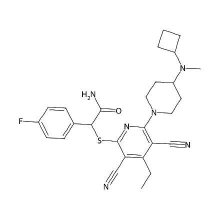 CCc1c(C#N)c(SC(C(N)=O)c2ccc(F)cc2)nc(N2CCC(N(C)C3CCC3)CC2)c1C#N